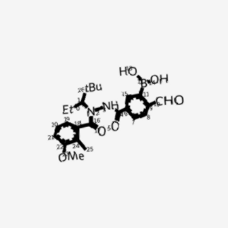 CCC(N(NC(=O)c1ccc(C=O)c(B(O)O)c1)C(=O)c1cccc(OC)c1C)C(C)(C)C